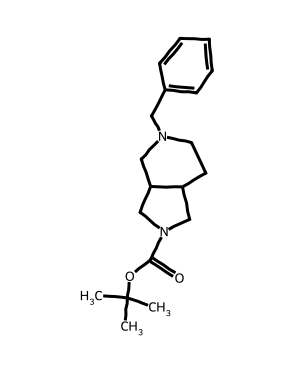 CC(C)(C)OC(=O)N1CC2CCN(Cc3ccccc3)CC2C1